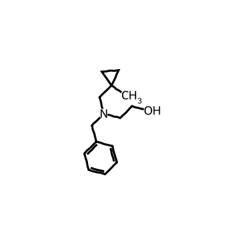 CC1(CN(CCO)Cc2ccccc2)CC1